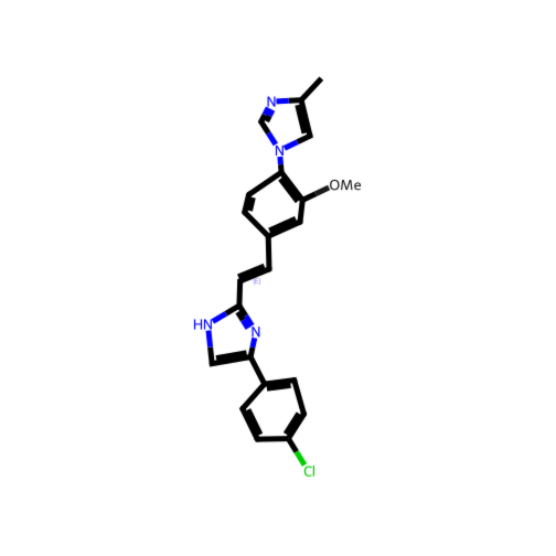 COc1cc(/C=C/c2nc(-c3ccc(Cl)cc3)c[nH]2)ccc1-n1cnc(C)c1